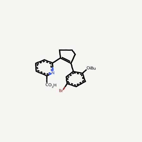 CC(C)COc1ccc(Br)cc1C1=C(c2cccc(C(=O)O)n2)CCC1